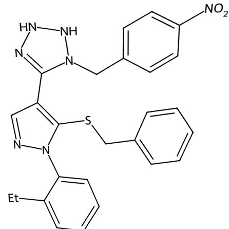 CCc1ccccc1-n1ncc(C2=NNNN2Cc2ccc([N+](=O)[O-])cc2)c1SCc1ccccc1